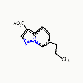 O=C(O)c1cnn2cc(CCC(F)(F)F)ccc12